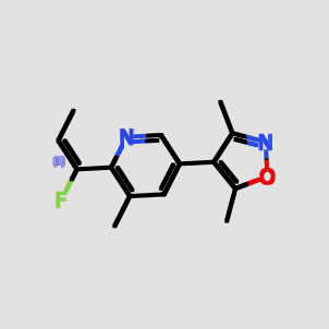 C/C=C(/F)c1ncc(-c2c(C)noc2C)cc1C